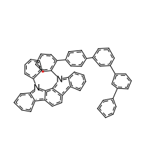 c1ccc(-c2cccc(-c3cccc(-c4ccc(-c5ccccc5-n5c6ccccc6c6ccc7c8ccccc8n(-c8ccccc8)c7c65)cc4)c3)c2)cc1